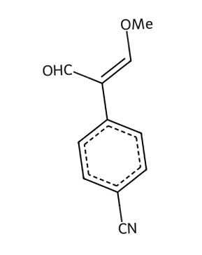 CO/C=C(\C=O)c1ccc(C#N)cc1